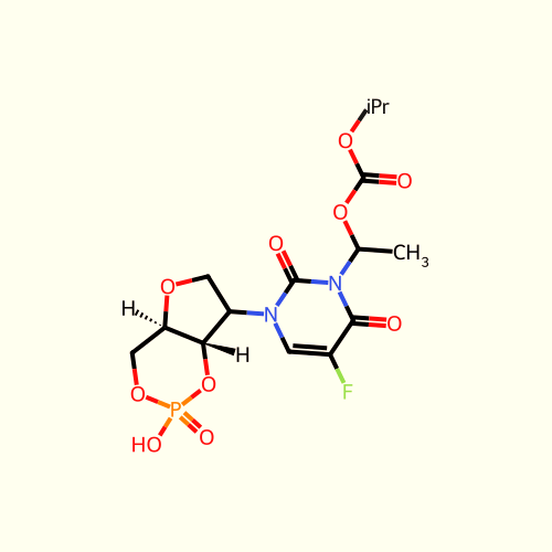 CC(C)OC(=O)OC(C)n1c(=O)c(F)cn(C2CO[C@@H]3COP(=O)(O)O[C@@H]23)c1=O